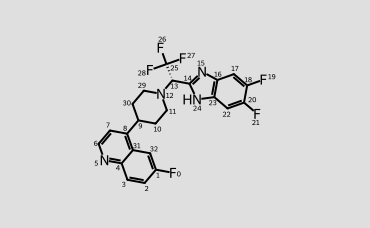 Fc1ccc2nccc(C3CCN([C@@H](c4nc5cc(F)c(F)cc5[nH]4)C(F)(F)F)CC3)c2c1